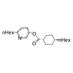 CCCCCCc1ccc(OC(=O)[C@H]2CC[C@H](CCCCCC)CC2)cn1